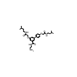 CC(C)CCNC(=O)COc1ccc(-c2cc(OCC(=O)NCCC(C)C)cc(C(=O)NCCN)c2)cc1